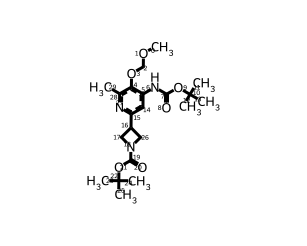 COCOc1c(NC(=O)OC(C)(C)C)cc(C2CN(C(=O)OC(C)(C)C)C2)nc1C